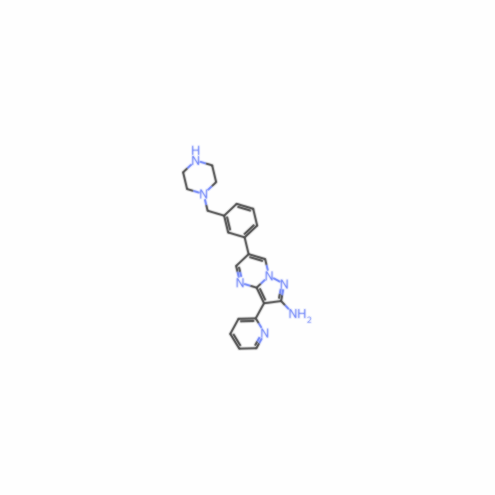 Nc1nn2cc(-c3cccc(CN4CCNCC4)c3)cnc2c1-c1ccccn1